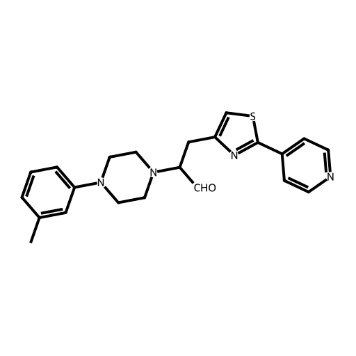 Cc1cccc(N2CCN(C(C=O)Cc3csc(-c4ccncc4)n3)CC2)c1